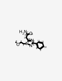 COCCn1nc(-c2ccccc2)nc1CC(N)=O